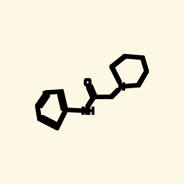 O=C(CN1CCCCC1)Nc1c[c]ccc1